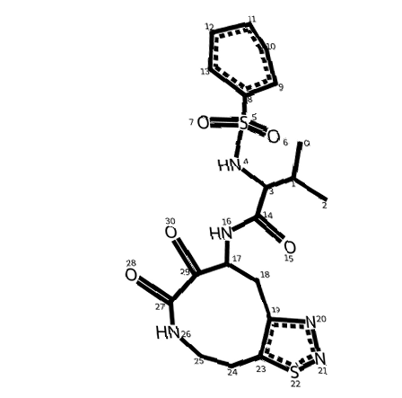 CC(C)C(NS(=O)(=O)c1ccccc1)C(=O)NC1Cc2nnsc2CCNC(=O)C1=O